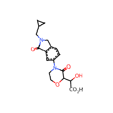 O=C(O)C(O)C1OCCN(c2ccc3c(c2)C(=O)N(CC2CC2)C3)C1=O